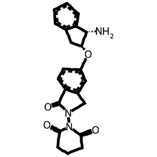 N[C@H]1c2ccccc2C[C@@H]1Oc1ccc2c(c1)CN(N1C(=O)CCCC1=O)C2=O